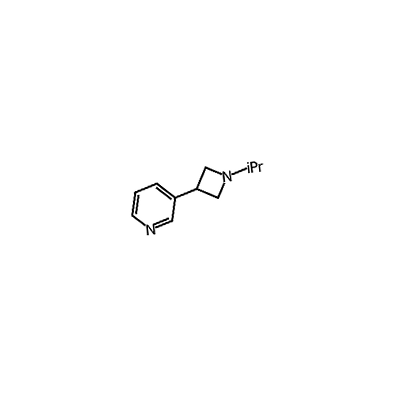 CC(C)N1CC(c2cccnc2)C1